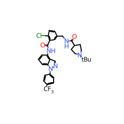 CC(C)(C)N1CCC(C(=O)NCc2ccc(Cl)c(C(=O)Nc3cccc4c3cnn4-c3ccc(C(F)(F)F)cc3)c2)CC1